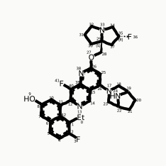 CCc1c(F)ccc2cc(O)cc(-c3ncc4c(N5CC6CCC(C5)N6)cc(OC[C@@]56CCCN5C[C@H](F)C6)nc4c3F)c12